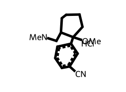 CNCC1CCCCC1(OC)c1cccc(C#N)c1.Cl